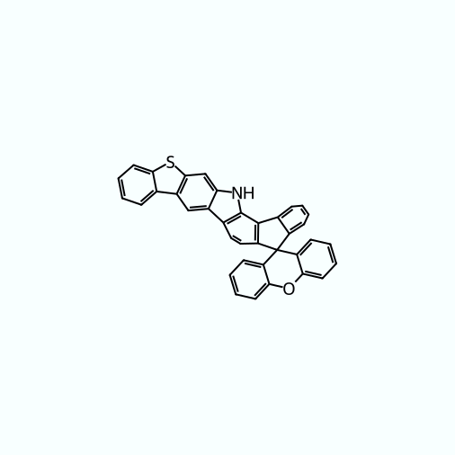 c1ccc2c(c1)Oc1ccccc1C21c2ccccc2-c2c1ccc1c2[nH]c2cc3sc4ccccc4c3cc21